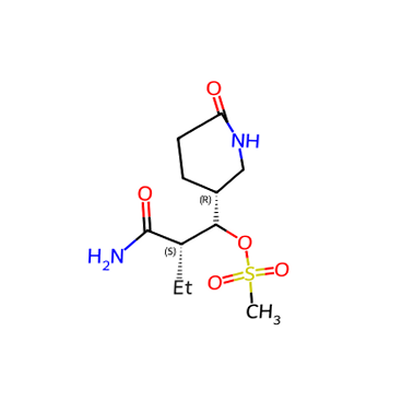 CC[C@H](C(N)=O)C(OS(C)(=O)=O)[C@@H]1CCC(=O)NC1